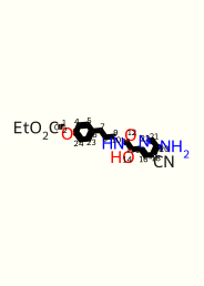 CCOC(=O)COc1ccc(CCCNC(=O)C(O)c2cc(C#N)c(N)cn2)cc1